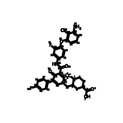 CN1CCC(C(=O)O)CC1Cn1cc(C(=O)Nc2ccc(Oc3ccnc(N)c3Cl)c(F)c2)c(=O)c(-c2ccc(F)cc2)c1